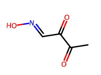 CC(=O)C(=O)C=NO